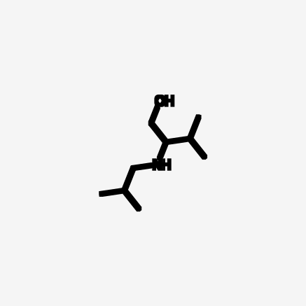 CC(C)CNC(CO)C(C)C